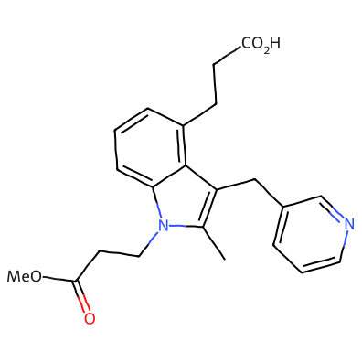 COC(=O)CCn1c(C)c(Cc2cccnc2)c2c(CCC(=O)O)cccc21